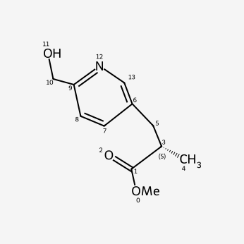 COC(=O)[C@@H](C)Cc1ccc(CO)nc1